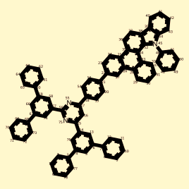 c1ccc(-c2cc(-c3ccccc3)cc(-c3cc(-c4ccc(-c5ccc6c(c5)c5ccccc5c5c6ccc6c7ccccc7n(-c7ccccc7)c65)cc4)nc(-c4cc(-c5ccccc5)cc(-c5ccccc5)c4)n3)c2)cc1